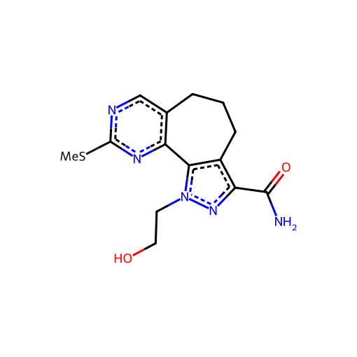 CSc1ncc2c(n1)-c1c(c(C(N)=O)nn1CCO)CCC2